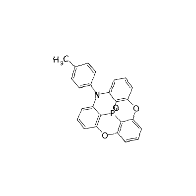 Cc1ccc(N2c3cccc4c3P3(=O)c5c(cccc5Oc5cccc2c53)O4)cc1